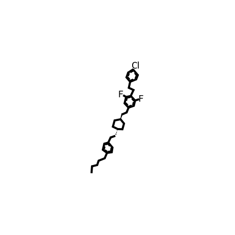 CCCCCc1ccc(CC[C@H]2CC[C@H](CCc3cc(F)c(CCc4ccc(Cl)cc4)c(F)c3)CC2)cc1